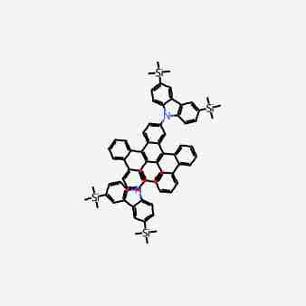 C[Si](C)(C)c1ccc2c(c1)c1cc([Si](C)(C)C)ccc1n2-c1ccc2c(-c3ccccc3-c3ccccc3)c3cc(-n4c5ccc([Si](C)(C)C)cc5c5cc([Si](C)(C)C)ccc54)ccc3c(-c3ccccc3-c3ccccc3)c2c1